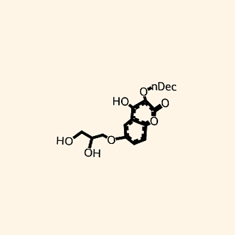 CCCCCCCCCCOc1c(O)c2cc(OCC(O)CO)ccc2oc1=O